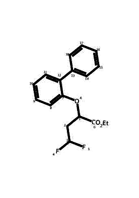 CCOC(=O)C(CC(F)F)Oc1ccccc1-c1ccccc1